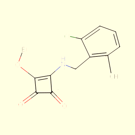 CCOc1c(NCc2c(C)cccc2Cl)c(=O)c1=O